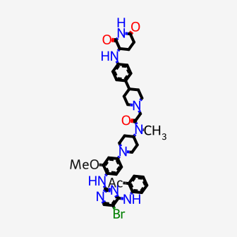 COc1cc(N2CCC(N(C)C(=O)CN3CCC(c4ccc(NC5CCC(=O)NC5=O)cc4)CC3)CC2)ccc1Nc1ncc(Br)c(Nc2ccccc2C(C)=O)n1